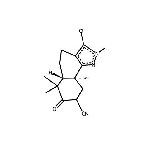 Cn1nc2c(c1Cl)CC[C@H]1C(C)(C)C(=O)C(C#N)C[C@]21C